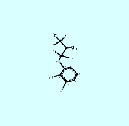 CC(C(F)(F)F)C(F)(F)Oc1cccc(F)c1F